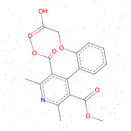 COC(=O)c1c(C)nc(C)c(C(=O)OC)c1-c1ccccc1OCC(=O)O